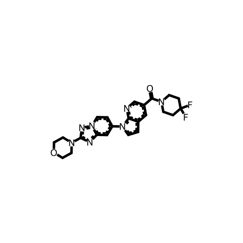 O=C(c1cnc2c(ccn2-c2ccn3nc(N4CCOCC4)nc3c2)c1)N1CCC(F)(F)CC1